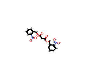 O=C(CC(=O)OCc1ccccc1[N+](=O)[O-])OCc1ccccc1[N+](=O)[O-]